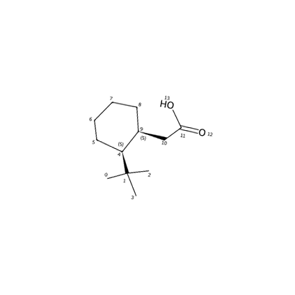 CC(C)(C)[C@H]1CCCC[C@H]1CC(=O)O